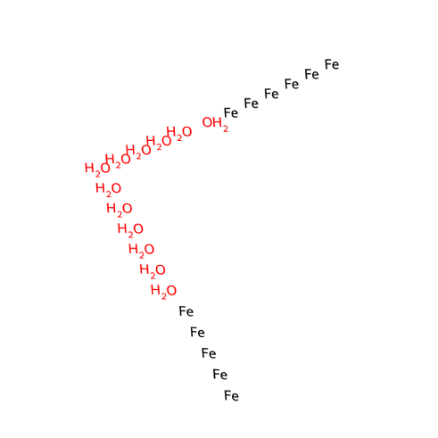 O.O.O.O.O.O.O.O.O.O.O.O.[Fe].[Fe].[Fe].[Fe].[Fe].[Fe].[Fe].[Fe].[Fe].[Fe].[Fe]